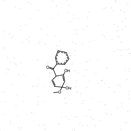 COC1(O)C=CC(C(=O)c2ccccc2)C(O)=C1